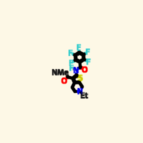 CCN1CCc2c(sc(N(F)C(=O)c3c(F)c(F)c(F)c(F)c3F)c2C(=O)NC)C1